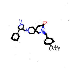 COc1ccc(CN2CC3(CCN(CC4CNCC4c4ccccc4)CC3)CC2=O)cc1